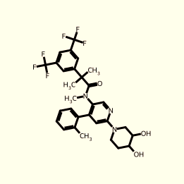 Cc1ccccc1-c1cc(N2CCC(O)C(O)C2)ncc1N(C)C(=O)C(C)(C)c1cc(C(F)(F)F)cc(C(F)(F)F)c1